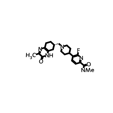 CNC(=O)c1ccc(C2CCN(C[C@H]3CCc4nc(C)c(=O)[nH]c4C3)CC2)c(F)n1